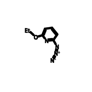 CCOc1cccc(N=[N+]=[N-])n1